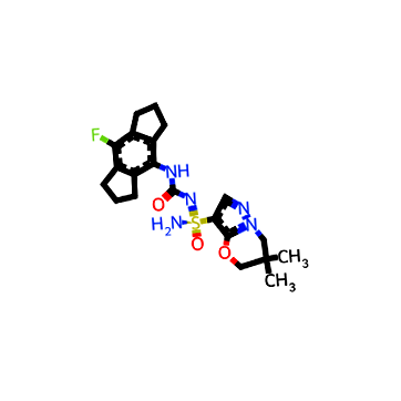 CC1(C)COc2c([S@](N)(=O)=NC(=O)Nc3c4c(c(F)c5c3CCC5)CCC4)cnn2C1